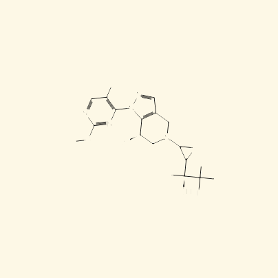 COc1ncc(F)c(-n2ncc3c2[C@H](C)CN(C2OC2[C@@](C)(O)C(F)(F)F)C3)n1